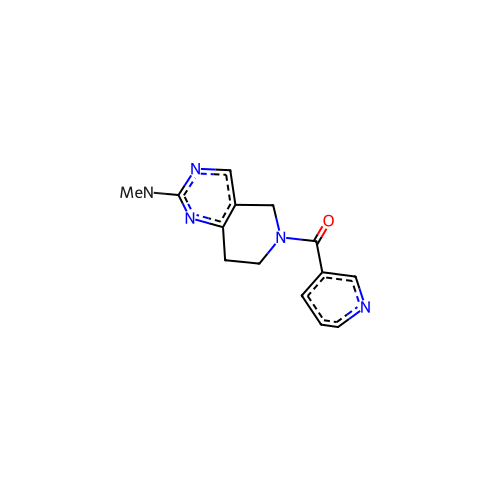 CNc1ncc2c(n1)CCN(C(=O)c1cccnc1)C2